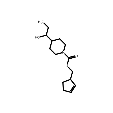 CCC(O)C1CCN(C(=O)OCC2C=CCC2)CC1